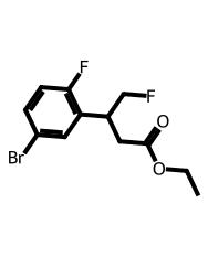 CCOC(=O)CC(CF)c1cc(Br)ccc1F